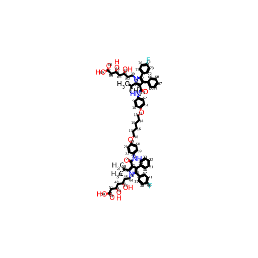 CC(C)c1c(C(=O)Nc2ccc(OCCCCCCOc3ccc(NC(=O)c4c(-c5ccccc5)c(-c5ccc(F)cc5)n(CCC(O)CC(O)CC(=O)O)c4C(C)C)cc3)cc2)c(-c2ccccc2)c(-c2ccc(F)cc2)n1CCC(O)CC(O)CC(=O)O